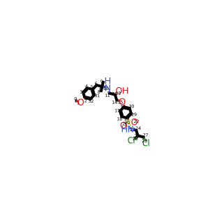 COc1ccc(CC(C)(C)NC[C@@H](O)COc2ccc(S(=O)(=O)NCC(Cl)CCl)cc2)cc1